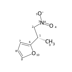 C[C@@H](C[N+](=O)[O-])c1ccco1